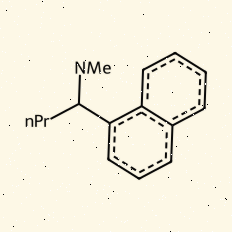 CCCC(NC)c1cccc2ccccc12